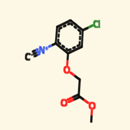 [C-]#[N+]c1ccc(Cl)cc1OCC(=O)OC